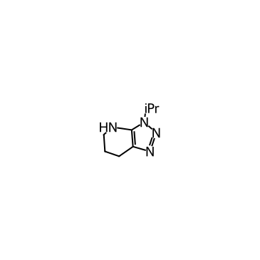 CC(C)n1nnc2c1NCCC2